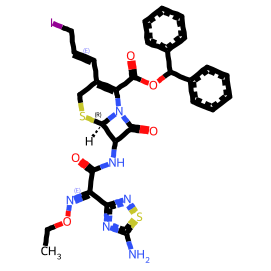 CCO/N=C(/C(=O)NC1C(=O)N2C(C(=O)OC(c3ccccc3)c3ccccc3)=C(/C=C/CI)CS[C@H]12)c1nsc(N)n1